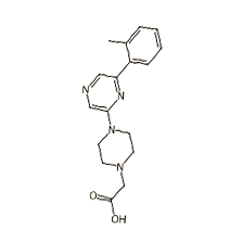 Cc1ccccc1-c1cncc(N2CCN(CC(=O)O)CC2)n1